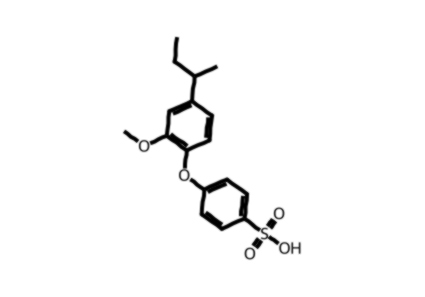 CCC(C)c1ccc(Oc2ccc(S(=O)(=O)O)cc2)c(OC)c1